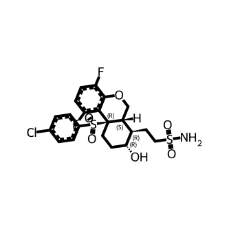 NS(=O)(=O)CC[C@H]1[C@H](O)CC[C@]2(S(=O)(=O)c3ccc(Cl)cc3)c3c(F)ccc(F)c3OC[C@H]12